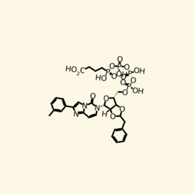 Cc1cccc(-c2cn3c(=O)n([C@@H]4O[C@H](COP(=O)(O)OP(=O)(O)OP(=O)(O)OP(=O)(O)CCCC(=O)O)C5OC(Cc6ccccc6)O[C@@H]54)ccc3n2)c1